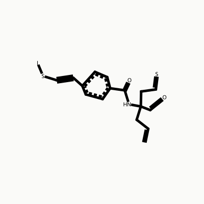 C=CCC(C=O)(CC=S)NC(=O)c1ccc(C#CSI)cc1